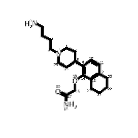 NCCCCN1CCC(c2ccc3c(c2OCC(N)=O)CCCC3)CC1